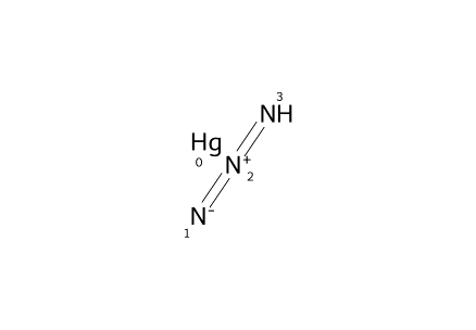 [Hg].[N-]=[N+]=N